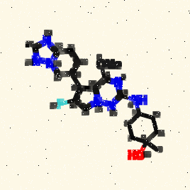 COc1nc(NC2CCC(C)(O)CC2)nn2cc(F)c(-c3ccc4ncnn4c3)c12